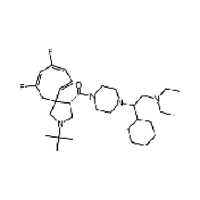 CCN(CC)CC(C1CCCCC1)N1CCN(C(=O)[C@@H]2CN(C(C)(C)C)CC23/C=C/C=C(F)\C=C(\F)C3)CC1